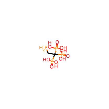 O=P(O)(O)C(CP)(P(=O)(O)O)P(=O)(O)O